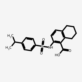 CC(C)c1ccc(S(=O)(=O)Nc2ccc3c(c2C(=O)O)CCCC3)cc1